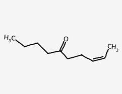 C/C=C\CCC(=O)CCCC